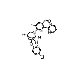 Cc1cc(C=O)c(-c2ncccn2)nc1N1C[C@@H]2CC[C@H]1[C@H](Oc1ccc(Cl)cn1)C2